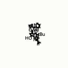 CC(C)(C)[C@H](C(=O)N1CC(O)CC1C(=O)NC(c1ccccn1)C1CCC1)n1cc(C2CC2)nn1